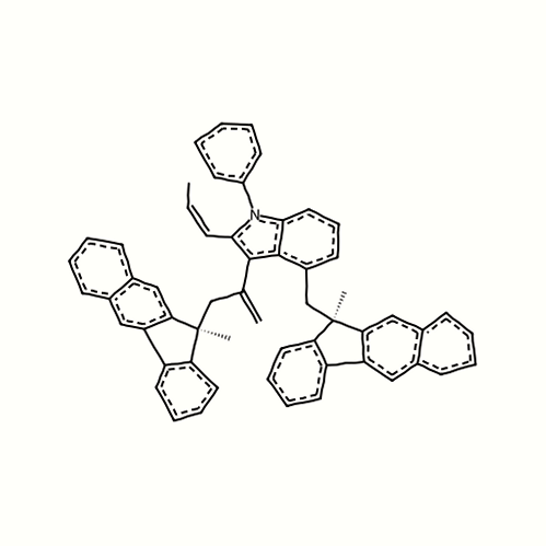 C=C(C[C@@]1(C)c2ccccc2-c2cc3ccccc3cc21)c1c(/C=C\C)n(-c2ccccc2)c2cccc(C[C@]3(C)c4ccccc4-c4cc5ccccc5cc43)c12